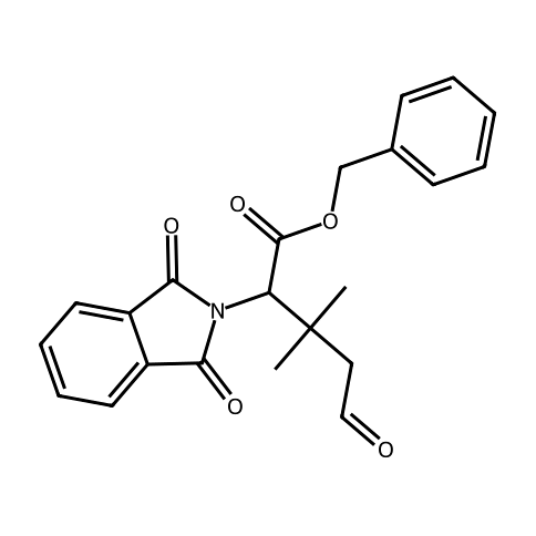 CC(C)(CC=O)C(C(=O)OCc1ccccc1)N1C(=O)c2ccccc2C1=O